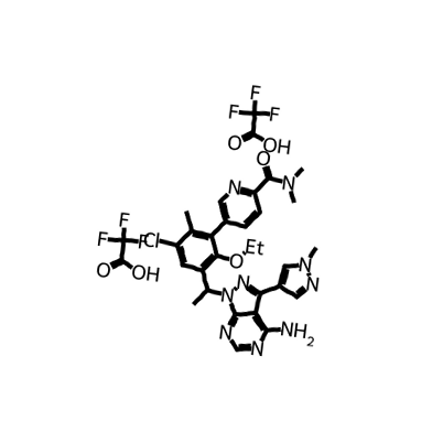 CCOc1c(C(C)n2nc(-c3cnn(C)c3)c3c(N)ncnc32)cc(Cl)c(C)c1-c1ccc(C(=O)N(C)C)nc1.O=C(O)C(F)(F)F.O=C(O)C(F)(F)F